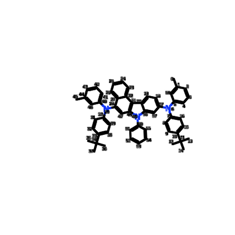 Cc1cccc(N(c2ccc(C(C)(C)C)cc2)c2ccc3c4c5ccccc5c(N(c5ccc(C(C)(C)C)cc5)c5cccc(C)c5)cc4n(-c4ccccc4)c3c2)c1